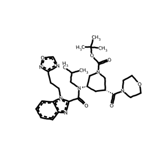 CC(C)CN(C(=O)c1nc2ccccc2n1CCc1ncon1)[C@H]1C[C@@H](C(=O)N2CCOCC2)CN(C(=O)OC(C)(C)C)C1